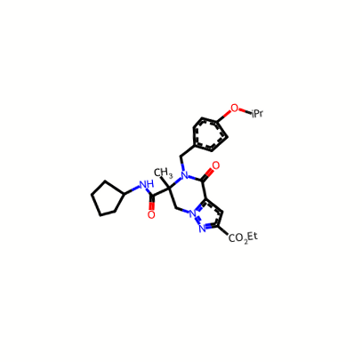 CCOC(=O)c1cc2n(n1)CC(C)(C(=O)NC1CCCC1)N(Cc1ccc(OC(C)C)cc1)C2=O